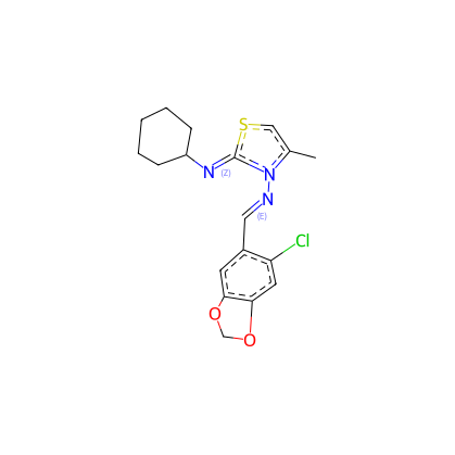 Cc1cs/c(=N\C2CCCCC2)n1/N=C/c1cc2c(cc1Cl)OCO2